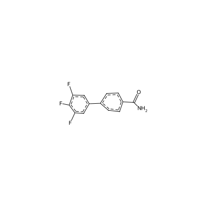 NC(=O)c1ccc(-c2cc(F)c(F)c(F)c2)cc1